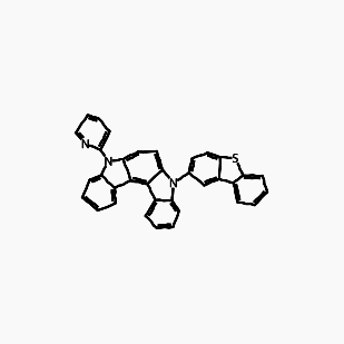 c1ccc(-n2c3ccccc3c3c4c5ccccc5n(-c5ccc6sc7ccccc7c6c5)c4ccc32)nc1